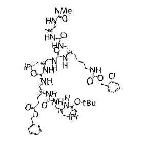 CNC(=O)NC[C@H](C)NC(=O)NC[C@H](CCCCNC(=O)OCc1ccccc1Cl)NC(=O)NC[C@H](CC(C)C)NC(=O)NC[C@H](CCC(=O)OCc1ccccc1)NC(=O)NC[C@H](CC(C)C)NC(=O)OC(C)(C)C